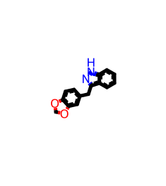 c1ccc2c(Cc3ccc4c(c3)OCO4)n[nH]c2c1